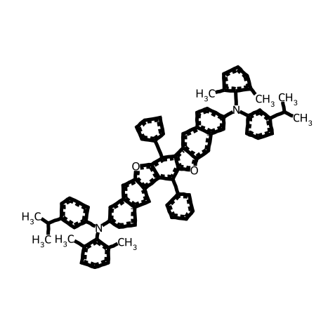 Cc1cccc(C)c1N(c1cccc(C(C)C)c1)c1ccc2cc3c(cc2c1)oc1c(-c2ccccc2)c2c(oc4cc5cc(N(c6cccc(C(C)C)c6)c6c(C)cccc6C)ccc5cc42)c(-c2ccccc2)c13